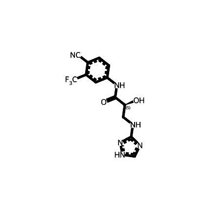 N#Cc1ccc(NC(=O)[C@@H](O)CNc2nc[nH]n2)cc1C(F)(F)F